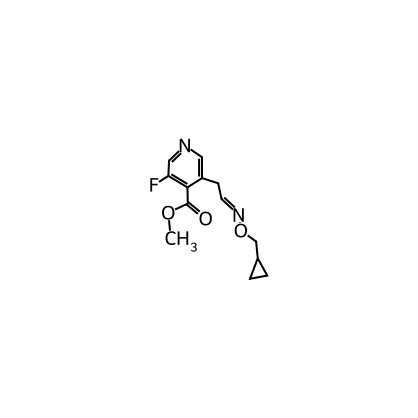 COC(=O)c1c(F)cncc1C/C=N/OCC1CC1